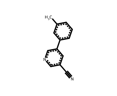 Cc1cccc(-c2cncc(C#N)c2)c1